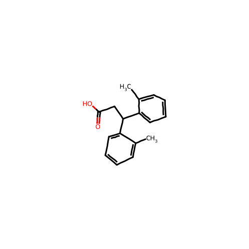 Cc1ccccc1C(CC(=O)O)c1ccccc1C